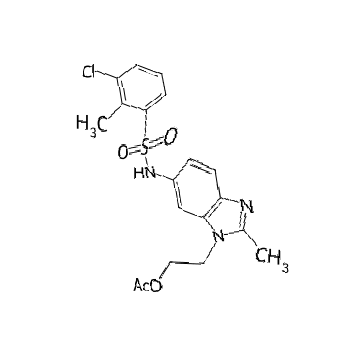 CC(=O)OCCn1c(C)nc2ccc(NS(=O)(=O)c3cccc(Cl)c3C)cc21